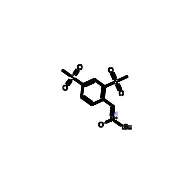 CC(C)(C)/[N+]([O-])=C/c1ccc(S(C)(=O)=O)cc1S(C)(=O)=O